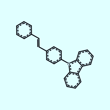 C(=Cc1ccc(-n2c3ccccc3c3ccccc32)cc1)c1ccccc1